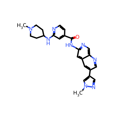 CN1CCC(Nc2cc(C(=O)Nc3cc4cc(-c5cnn(C)c5)cnc4cn3)ccn2)CC1